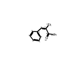 CCC(=Cc1ccccc1)C(=O)C(C)C